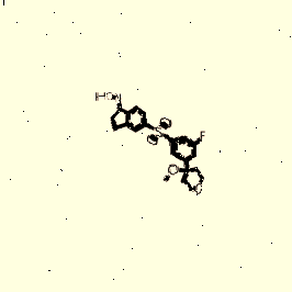 COC1(c2cc(F)cc(S(=O)(=O)c3ccc4c(c3)CC/C4=N\O)c2)CCOCC1